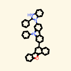 c1ccc(C2Nc3ccccc3N2c2ccc3c4ccc(-c5cc6c7ccccc7oc6c6ccccc56)cc4n(-c4ccccc4)c3c2)cc1